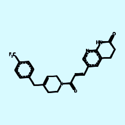 O=C1CCc2cc(C=CC(=O)N3CC=C(Cc4ccc(C(F)(F)F)cc4)CC3)cnc2N1